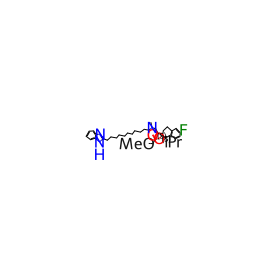 COCC(=O)O[C@]1(CCN(C)CCCCCCCCCCCc2nc3ccccc3[nH]2)CCc2cc(F)ccc2[C@@H]1C(C)C